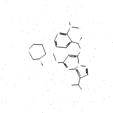 CC(C)c1cnn2c(N[C@H](C)c3cccnc3N(C)C)cc(NC[C@H]3CCNC[C@@H]3O)nc12